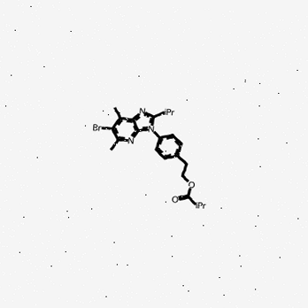 Cc1nc2c(nc(C(C)C)n2-c2ccc(CCOC(=O)C(C)C)cc2)c(C)c1Br